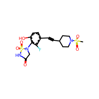 CS(=O)(=O)N1CCC(C#Cc2ccc(O)c(N3CC(=O)NS3(=O)=O)c2F)CC1